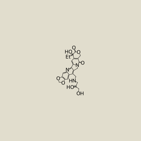 CC[C@@]1(O)C(=O)OCc2c1cc1n(c2=O)Cc2c-1nc1cc3c(cc1c2CNC[C@H](O)CO)OCO3